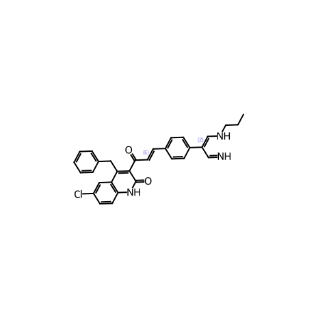 CCCN/C=C(\C=N)c1ccc(/C=C/C(=O)c2c(Cc3ccccc3)c3cc(Cl)ccc3[nH]c2=O)cc1